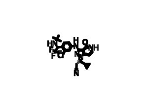 CC(C)(C)NC(c1ccc(Nc2nn([C@@H](CC#N)C3CC3)c3cc[nH]c(=O)c23)cc1Cl)C(F)(F)F